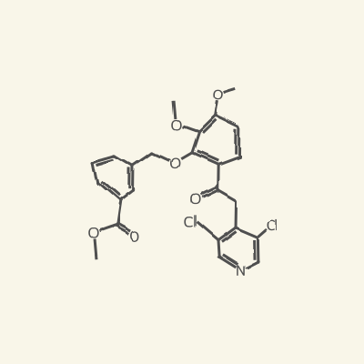 COC(=O)c1cccc(COc2c(C(=O)Cc3c(Cl)cncc3Cl)ccc(OC)c2OC)c1